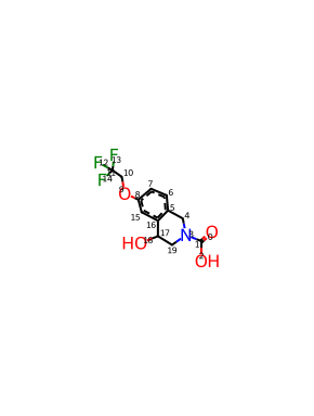 O=C(O)N1Cc2ccc(OCC(F)(F)F)cc2C(O)C1